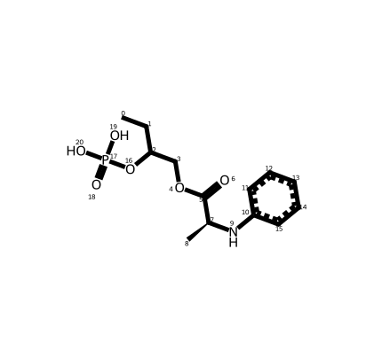 CCC(COC(=O)[C@H](C)Nc1ccccc1)OP(=O)(O)O